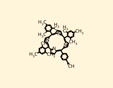 C#Cc1ccc(C2=C3C=CC(=N3)C(c3c(C)cc(C)cc3C)=C3C=CC(=N3)C(c3c(C)cc(C)cc3C)=C3C=CC(=N3)C(c3c(C)cc(C)cc3C)=C3C=CC2=N3)cc1